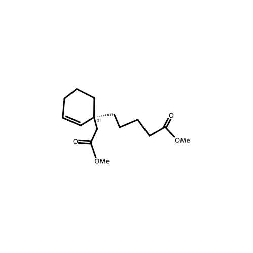 COC(=O)CCCC[C@]1(CC(=O)OC)C=CCCC1